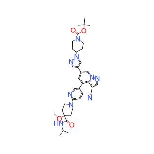 COC1(C(=O)NC(C)C)CCN(c2ccc(-c3cc(-c4cnn(C5CCN(C(=O)OC(C)(C)C)CC5)c4)cn4ncc(C#N)c34)cn2)CC1